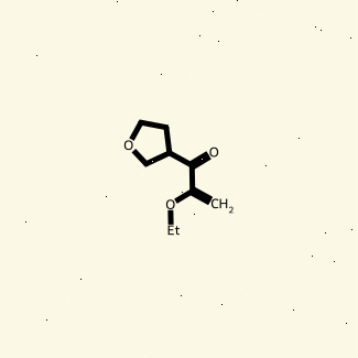 C=C(OCC)C(=O)C1CCOC1